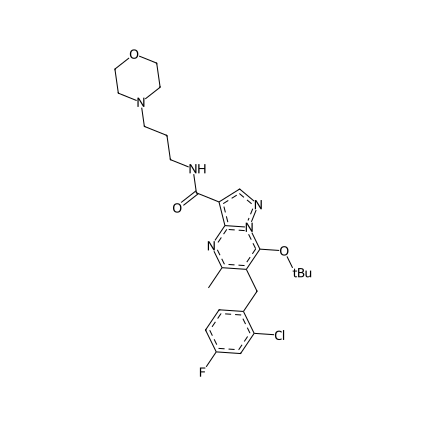 Cc1nc2c(C(=O)NCCCN3CCOCC3)cnn2c(OC(C)(C)C)c1Cc1ccc(F)cc1Cl